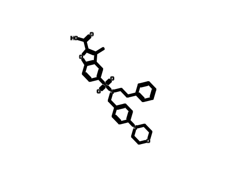 Cc1c(C(=O)O)oc2ccc(S(=O)(=O)N(CCc3ccccc3)Cc3ccc(N4CCOCC4)cc3)cc12